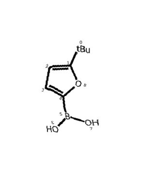 CC(C)(C)c1ccc(B(O)O)o1